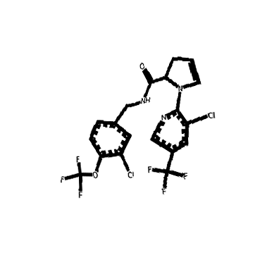 O=C(NCc1ccc(OC(F)(F)F)c(Cl)c1)C1CC=CN1c1ncc(C(F)(F)F)cc1Cl